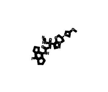 COC1CN([C@H]2COc3c(S(=O)(=NC(=O)Nc4c5c(c(F)c6c4CCC6)CCC5)NC#N)cnn3C2)C1